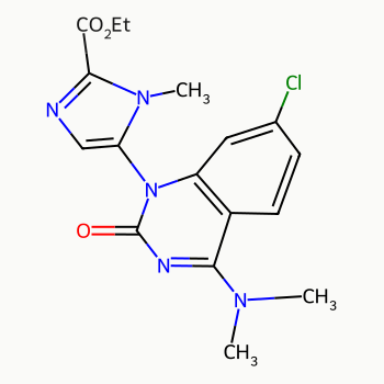 CCOC(=O)c1ncc(-n2c(=O)nc(N(C)C)c3ccc(Cl)cc32)n1C